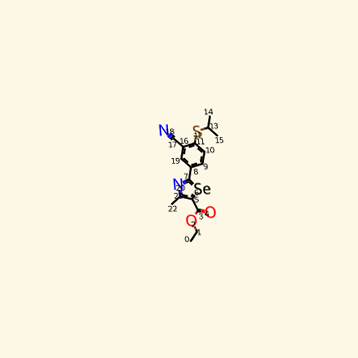 CCOC(=O)c1[se]c(-c2ccc(SC(C)C)c(C#N)c2)nc1C